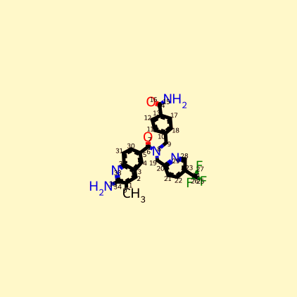 Cc1cc2cc(C(=O)N(Cc3ccc(C(N)=O)cc3)Cc3ccc(C(F)(F)F)cn3)ccc2nc1N